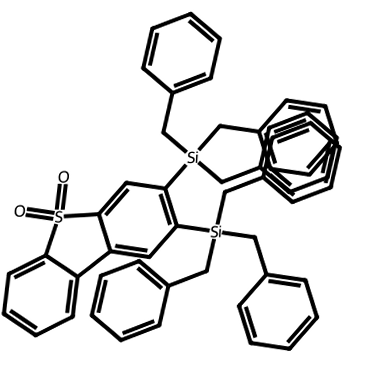 O=S1(=O)c2ccccc2-c2cc([Si](Cc3ccccc3)(Cc3ccccc3)Cc3ccccc3)c([Si](Cc3ccccc3)(Cc3ccccc3)Cc3ccccc3)cc21